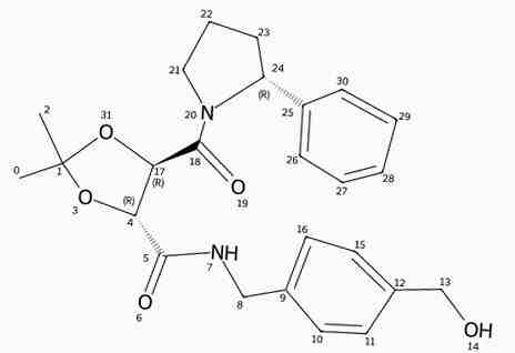 CC1(C)O[C@@H](C(=O)NCc2ccc(CO)cc2)[C@H](C(=O)N2CCC[C@@H]2c2ccccc2)O1